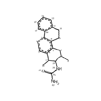 CC1Cc2c(ccc3c2CCc2ccccc2-3)C(C)C1NC(N)=O